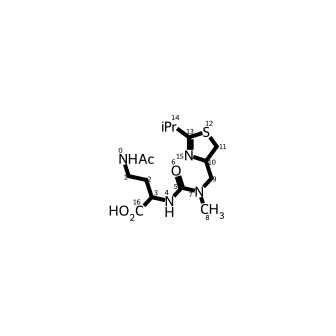 CC(=O)NCCC(NC(=O)N(C)CC1CSC(C(C)C)=N1)C(=O)O